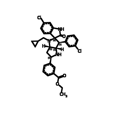 CCOC(=O)c1cccc([C@H]2C[C@H]3[C@@H](N2)[C@H](c2cccc(Cl)c2)[C@]2(C(=O)Nc4cc(Cl)ccc42)N3CC2CC2)c1